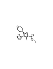 CCOC(=O)c1nn(C2CCOCC2)c(-c2ccco2)c1C